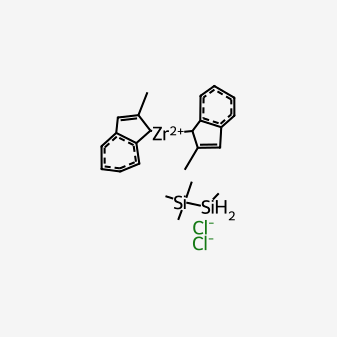 CC1=Cc2ccccc2[CH]1[Zr+2][CH]1C(C)=Cc2ccccc21.C[SiH2][Si](C)(C)C.[Cl-].[Cl-]